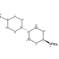 CCCCCC[C@H]1CO[C@H](C2CCC(Br)CC2)OC1